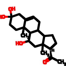 CC(=O)[C@H]1CCC2C3CC=C4CC(O)(O)CCC4(C)C3C(O)CC21C